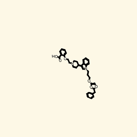 O=C(O)c1ccccc1OCCN1CCC(c2cn(CCCOC3=COC(Cc4ccccc4)O3)c3ccccc23)CC1